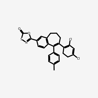 Cc1ccc(C2=C(C3=C(Cl)C=C(Cl)CC3)CCCc3cc(-c4nsc(=O)o4)ccc32)cc1